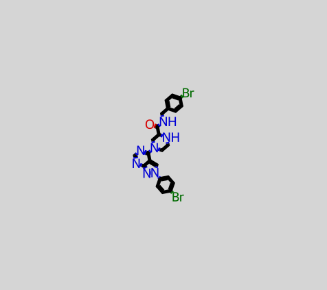 O=C(NCc1ccc(Br)cc1)C1CN(c2ncnc3nn(-c4ccc(Br)cc4)cc23)CCN1